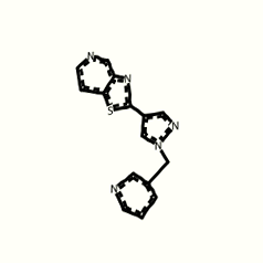 c1cncc(Cn2cc(-c3nc4cnccc4s3)cn2)c1